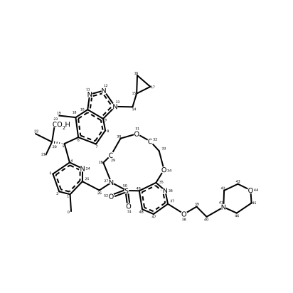 Cc1ccc([C@@H](c2ccc3c(nnn3CC3CC3)c2C)C(C)(C)C(=O)O)nc1CN1CCCOCCOc2nc(OCCN3CCOCC3)ccc2S1(=O)=O